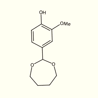 COc1cc(C2OCCCCO2)ccc1O